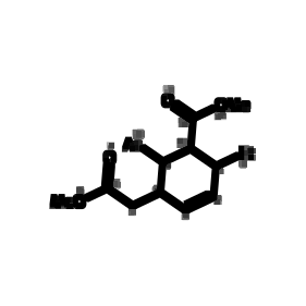 CCC1C=CC(CC(=O)OC)C(C(C)=O)C1C(=O)OC